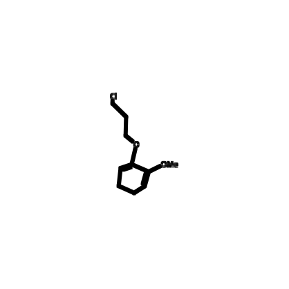 COC1=C[CH]CC=C1OCCCCl